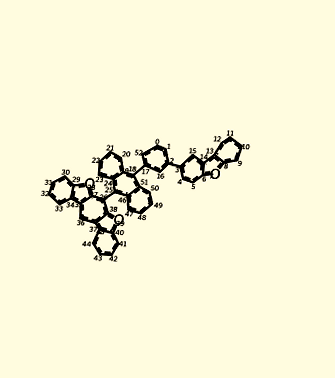 c1cc(-c2ccc3oc4ccccc4c3c2)cc(-c2c3ccccc3c(-c3c4oc5ccccc5c4cc4c3oc3ccccc34)c3ccccc23)c1